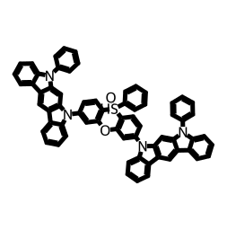 O=[SH]1(c2ccccc2)c2ccc(-n3c4ccccc4c4cc5c6ccccc6n(-c6ccccc6)c5cc43)cc2Oc2cc(-n3c4ccccc4c4cc5c6ccccc6n(-c6ccccc6)c5cc43)ccc21